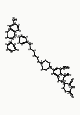 COc1cc(N2CCN(CCCCCOc3ccc([C@H]4c5ccc(O)cc5CC[C@H]4c4ccccc4)cc3)CC2)cc2c1C(=O)N(C1CCC(=O)NC1=O)C2